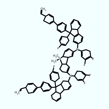 C=CC1C=CC(c2ccc(C3(C4C=CC(F)=CC4)c4cc(N(C5=CC6C7C=C(N(C8C=C(F)C(F)=CC8)C8C=CC9C%10C=CCCC%10C(c%10ccc(C%11=CCC(C=C)C=C%11)cc%10)(C%10C=CC(F)=CC%10)C9C8)CCC7[Si](C)(C)C6C=C5)C5=CC(F)=C(F)CC5)ccc4C4C=CC=CC43)cc2)=CC1